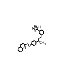 CC(CCc1cccc(-c2nnn[nH]2)c1)c1ccc(OCc2ccc3ccccc3n2)cc1